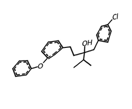 CC(C)C(O)(CCc1cccc(Oc2ccccc2)c1)Cc1ccc(Cl)cc1